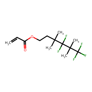 C=CC(=O)OCCC(C)(C)C(F)(F)C(C)(C)C(F)(F)F